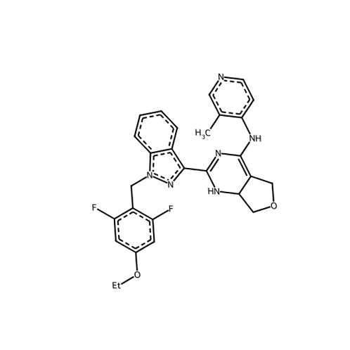 CCOc1cc(F)c(Cn2nc(C3=NC(Nc4ccncc4C)=C4COCC4N3)c3ccccc32)c(F)c1